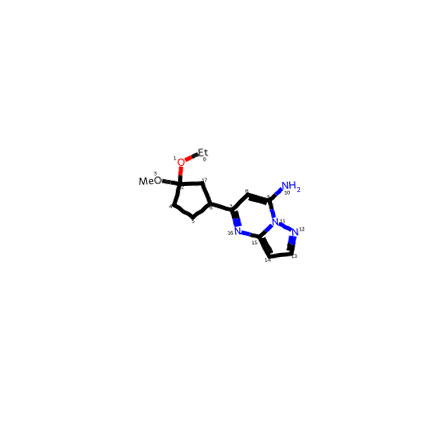 CCOC1(OC)CCC(c2cc(N)n3nccc3n2)C1